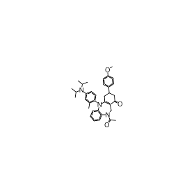 COc1ccc(C2CC(=O)C3=C(C2)N(c2ccc(N(C(C)C)C(C)C)cc2C)c2ccccc2N(C(C)=O)C3)cc1